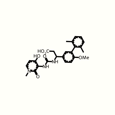 COc1ccc(C(CC(=O)O)NC(=O)Nc2c(O)ccn(C)c2=O)cc1-c1c(C)cccc1C